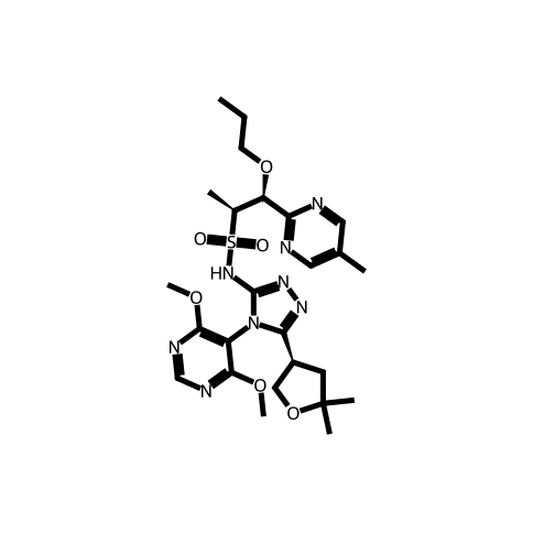 CCCO[C@@H](c1ncc(C)cn1)[C@H](C)S(=O)(=O)Nc1nnc([C@@H]2COC(C)(C)C2)n1-c1c(OC)ncnc1OC